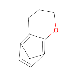 C1=CC2=C3OCCCC3=C1C2